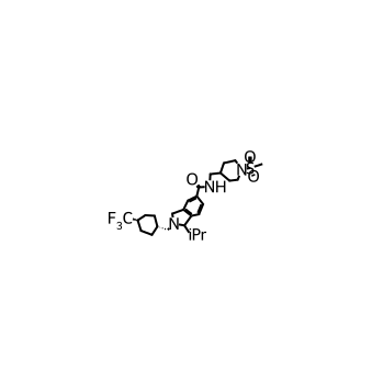 CC(C)C1c2ccc(C(=O)NCC3CCN(S(C)(=O)=O)CC3)cc2CN1C[C@H]1CC[C@H](C(F)(F)F)CC1